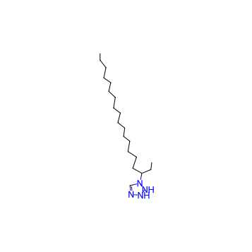 CCCCCCCCCCCCCCCCC(CC)N1C=NNN1